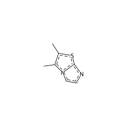 Cc1sc2n[c]cn2c1C